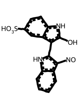 O=Nc1c(-c2c(O)[nH]c3ccc(S(=O)(=O)O)cc23)[nH]c2ccccc12